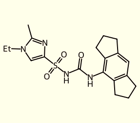 CCn1cc(S(=O)(=O)NC(=O)Nc2c3c(cc4c2CCC4)CCC3)nc1C